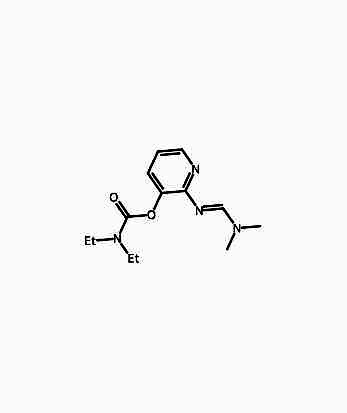 CCN(CC)C(=O)Oc1cccnc1N=CN(C)C